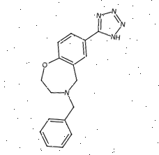 c1ccc(CN2CCOc3ccc(-c4nnn[nH]4)cc3C2)cc1